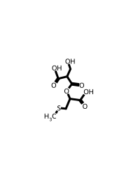 CSCC(OC(=O)C(CO)C(=O)O)C(=O)O